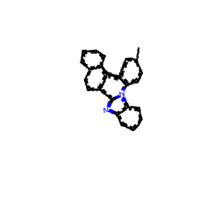 Cc1ccc2c(c1)c1c3ccccc3ccc1c1nc3ccccc3n21